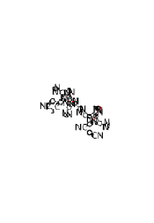 N#Cc1cccc(-c2cc(-n3c4ccc(-c5ncccn5)cc4c4cc(-c5ncccn5)ccc43)c(-n3c4ccc(-c5ncccn5)cc4c4cc(-c5ncc(-c6cnc(-c7ccc8c9ccc(-c%10ncccn%10)cc9n(-c9cc(-c%10cccc(C#N)c%10)c(C(F)(F)F)cc9-n9c%10cc(-c%11ncccn%11)ccc%10c%10ccc(-c%11ncccn%11)cc%109)c8c7)nc6)cn5)ccc43)cc2C#N)c1